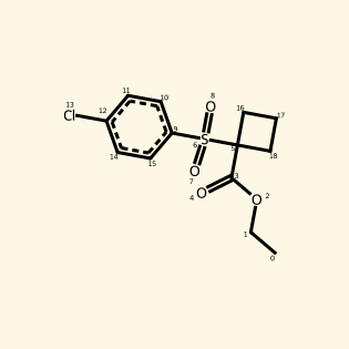 CCOC(=O)C1(S(=O)(=O)c2ccc(Cl)cc2)CCC1